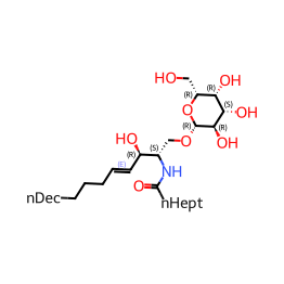 CCCCCCCCCCCCC/C=C/[C@@H](O)[C@H](CO[C@@H]1O[C@H](CO)[C@H](O)[C@H](O)[C@H]1O)NC(=O)CCCCCCC